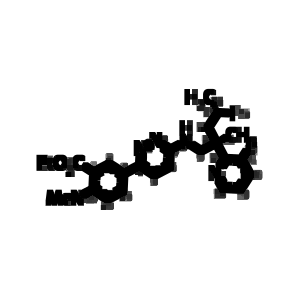 CCOC(=O)c1cc(-c2ccc(NC[C@](C)(C[C@H](C)F)c3ncccc3F)nn2)ccc1NC